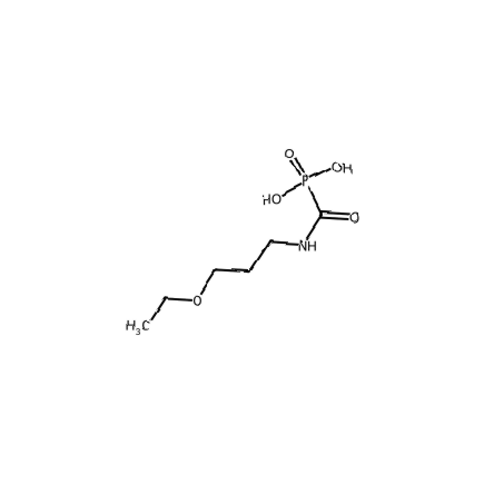 CCOCCCNC(=O)P(=O)(O)O